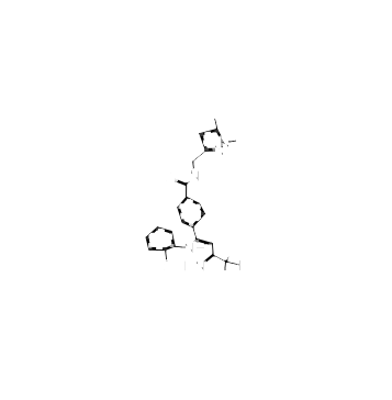 Cc1cc(CNC(=O)c2ccc(/C(=C/C(=N)C(F)(F)F)Nc3ccccc3Cl)cc2)nn1C